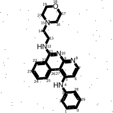 c1ccc(Nc2ccnc3nc(NCCN4CCOCC4)c4ccccc4c23)cc1